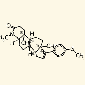 CSc1ccc(C2=CC[C@H]3[C@@H]4CC[C@H]5N(C)C(=O)CC[C@]5(C)[C@H]4CC[C@]23C)cc1